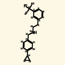 FC(F)(F)c1cccc(CCNCc2ccc(C3CC3)cc2)c1